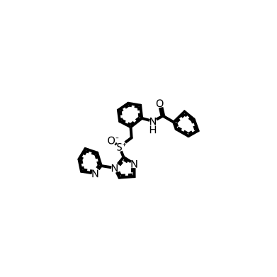 O=C(Nc1ccccc1C[S+]([O-])c1nccn1-c1ccccn1)c1ccccc1